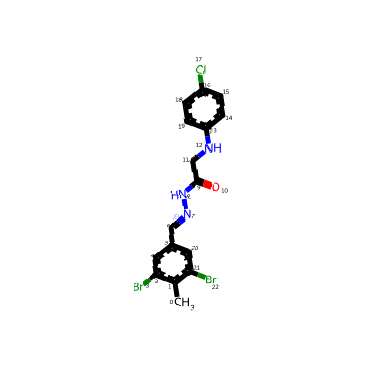 Cc1c(Br)cc(/C=N/NC(=O)CNc2ccc(Cl)cc2)cc1Br